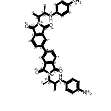 CC(Nc1ccc(N)cc1)[C@@H](C)N1C(=O)c2ccc(-c3ccc4c(c3)C(=O)N(C(C)[C@@H](C)Nc3ccc(N)cc3)C4=O)cc2C1=O